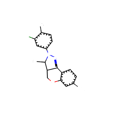 CC(C)C1C2COc3cc(C(=O)O)ccc3C2=NN1c1ccc(C#N)c(Cl)c1